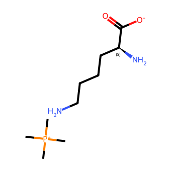 C[P+](C)(C)C.NCCCC[C@H](N)C(=O)[O-]